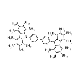 Bc1c(B)c(B)c2c(c1B)c1c(B)c(B)c(B)c(B)c1n2-c1ccc(-c2ccc(-n3c4c(B)c(B)c(B)c(B)c4c4c(B)c(B)c(B)c(B)c43)cc2)cc1